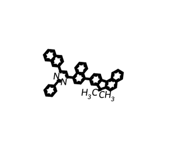 CC1(C)c2cc(-c3ccc(-c4cc(-c5ccc6ccccc6c5)nc(-c5ccccc5)n4)c4ccccc34)ccc2-c2c1ccc1ccccc21